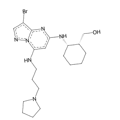 OC[C@@H]1CCCC[C@@H]1Nc1cc(NCCCN2CCCC2)n2ncc(Br)c2n1